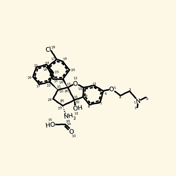 CN(C)CCOc1ccc2c(c1)O[C@@]1(c3ccc(Cl)cc3)[C@H](c3ccccc3)C[C@@H](N)[C@@]21O.O=CO